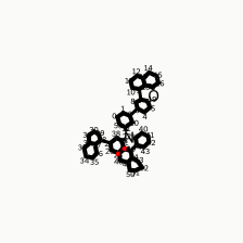 c1cc(-c2ccc3c(c2)-c2cccc4cccc(c24)O3)cc(N(c2cccc(-c3cccc4ccccc34)c2)c2ccccc2-c2cccc3ccccc23)c1